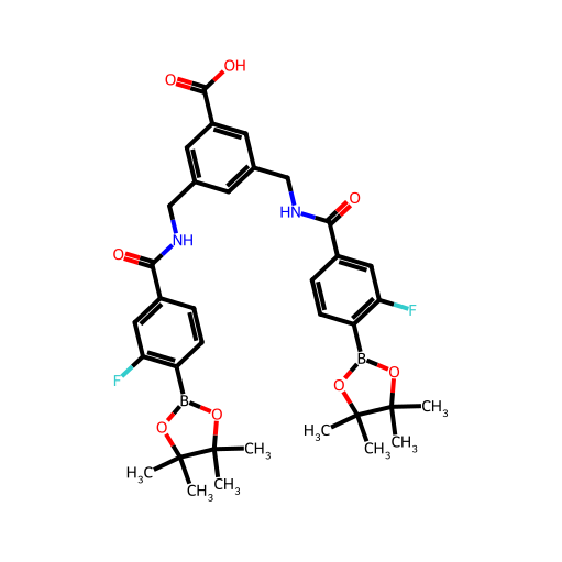 CC1(C)OB(c2ccc(C(=O)NCc3cc(CNC(=O)c4ccc(B5OC(C)(C)C(C)(C)O5)c(F)c4)cc(C(=O)O)c3)cc2F)OC1(C)C